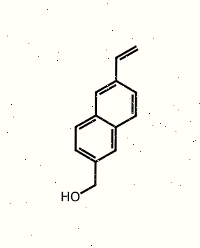 C=Cc1ccc2cc(CO)ccc2c1